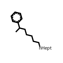 CCCCCCCCCCCCC(C)c1ccccc1